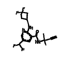 C#CC(C)(C)NC(=O)c1cc(C(F)F)cnc1NC1CC(F)(F)C1